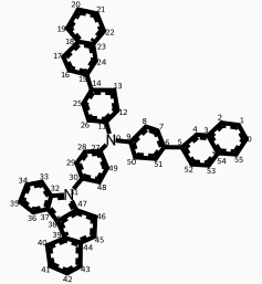 c1ccc2cc(-c3ccc(N(c4ccc(-c5ccc6ccccc6c5)cc4)c4ccc(-n5c6ccccc6c6c7ccccc7ccc65)cc4)cc3)ccc2c1